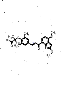 CSc1cc2c(SC)ccc(C(=O)/C=C/c3cc(C)c(OC(C)(C)C(=O)O)c(C)c3)c2o1